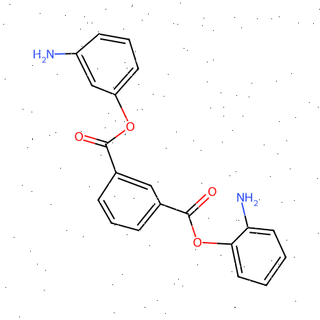 Nc1cccc(OC(=O)c2cccc(C(=O)Oc3ccccc3N)c2)c1